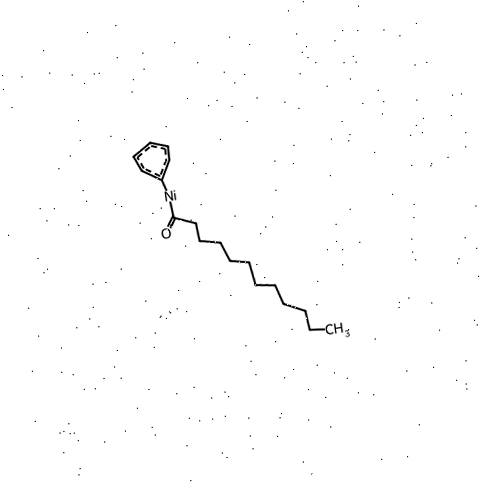 CCCCCCCCCCC[C](=O)[Ni][c]1ccccc1